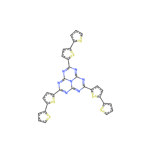 c1csc(-c2ccc(C3=NC4=NC(c5ccc(-c6cccs6)s5)=NC5=NC(c6ccc(-c7cccs7)s6)=NC(=N3)N45)s2)c1